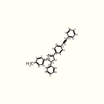 Cc1ccc(N2N=C(c3ccc(C#Cc4ccccc4)cc3)CC2c2ccccc2)cc1